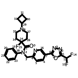 O=C(N(Cc1ccc(-c2nnc(C(F)F)o2)cn1)c1ccccc1)C1(F)CCN(C2CCC2)CC1